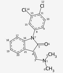 CN(C)C=C1C(=O)N(c2ccc(Cl)c(Cl)c2)c2ccccc21